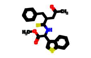 COC(=O)C(NC(=S)C(CC(C)=O)Cc1ccccc1)c1csc2ccccc12